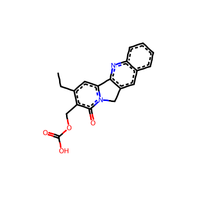 CCc1cc2n(c(=O)c1COC(=O)O)Cc1cc3ccccc3nc1-2